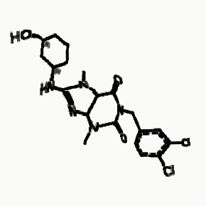 CN1C(=O)N(Cc2ccc(Cl)c(Cl)c2)C(=O)C2C1N=C(N[C@@H]1CCC[C@H](O)C1)N2C